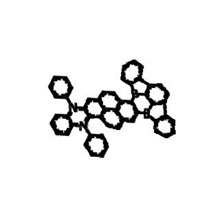 c1ccc(-n2c3ccccc3n(-c3ccccc3)c3c4ccc5cc6c(c7ccc(cc32)c4c57)B2c3ccccc3-c3ccc4c(c32)B6c2ccccc2-4)cc1